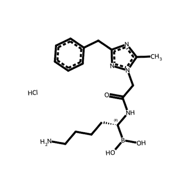 Cc1nc(Cc2ccccc2)nn1CC(=O)N[C@@H](CCCCN)B(O)O.Cl